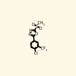 CS(=O)(=O)c1nnc(-c2ccc(Cl)c(C(F)(F)F)c2)o1